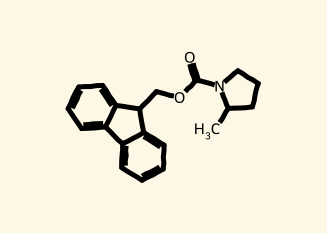 CC1CCCN1C(=O)OCC1c2ccccc2-c2ccccc21